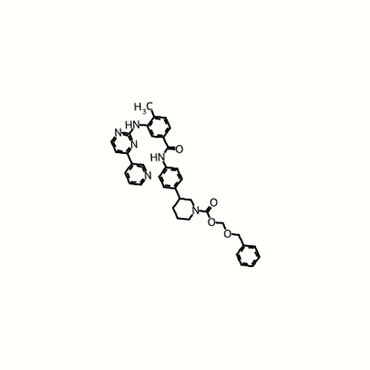 Cc1ccc(C(=O)Nc2ccc(C3CCCN(C(=O)OCOCc4ccccc4)C3)cc2)cc1Nc1nccc(-c2cccnc2)n1